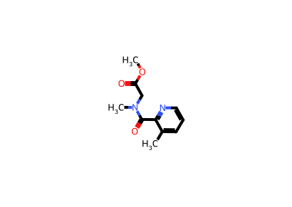 COC(=O)CN(C)C(=O)c1ncccc1C